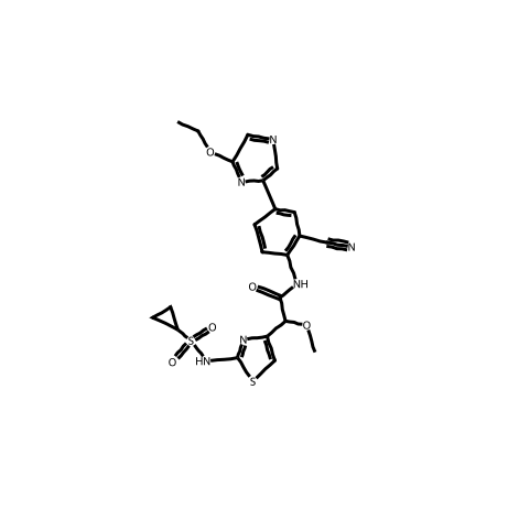 CCOc1cncc(-c2ccc(NC(=O)C(OC)c3csc(NS(=O)(=O)C4CC4)n3)c(C#N)c2)n1